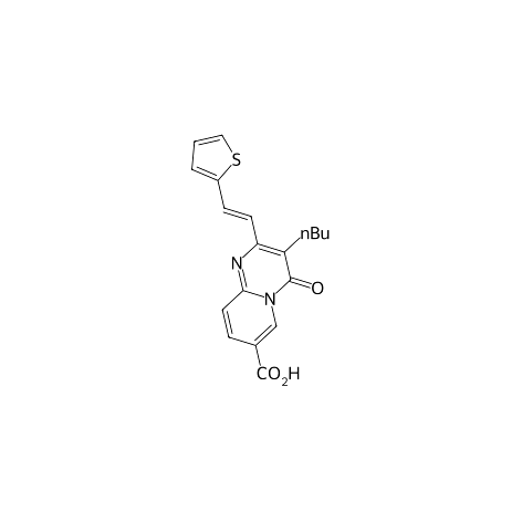 CCCCc1c(C=Cc2cccs2)nc2ccc(C(=O)O)cn2c1=O